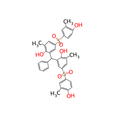 Cc1cc(S(=O)(=O)c2cc(C)c(O)c(C(c3ccccc3)c3cc(S(=O)(=O)c4ccc(O)c(C)c4)cc(C)c3O)c2)ccc1O